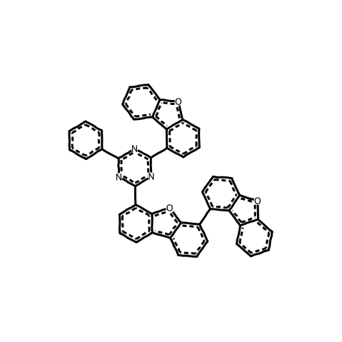 c1ccc(-c2nc(-c3cccc4c3oc3c(-c5cccc6oc7ccccc7c56)cccc34)nc(-c3cccc4oc5ccccc5c34)n2)cc1